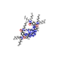 CCCCCCN(CCCCCC)C(=O)c1ccc(C(=O)N(CCCCCC)CCCCCC)c(/N=N/c2c(C(C)(C)C)nn(-c3cc(-n4nc(C(C)(C)C)c(/N=N/c5cc(C(=O)N(CCCCCC)CCCCCC)ccc5C(=O)N(CCCCCC)CCCCCC)c4N)ncn3)c2N)c1